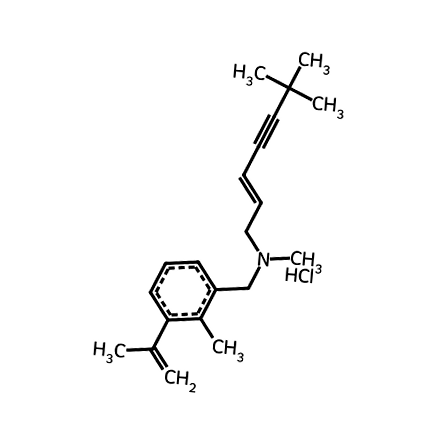 C=C(C)c1cccc(CN(C)CC=CC#CC(C)(C)C)c1C.Cl